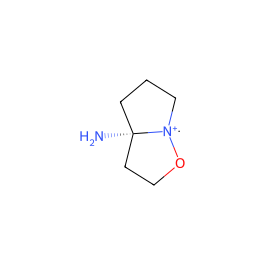 N[C@]12CCC[N+]1OCC2